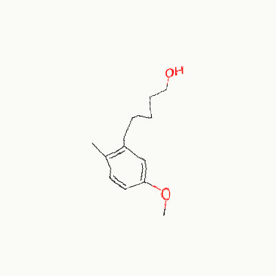 COc1ccc(C)c(CCCCO)c1